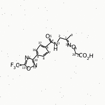 CC(CNC(=O)c1ccc(-c2noc(C(F)(F)F)n2)cc1)=NOCC(=O)O